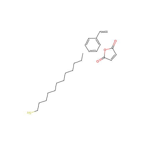 C=Cc1ccccc1.CCCCCCCCCCCCS.O=C1C=CC(=O)O1